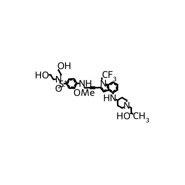 COc1cc([S+]([O-])N(CCO)CCO)ccc1NCC#Cc1cc2c(NC3CCN(CC(C)O)CC3)cccc2n1CC(F)(F)F